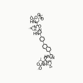 COC(=O)N[C@@H](CCS(C)(=O)=O)C(=O)N1C[C@@H](C)C[C@H]1c1ncc(-c2ccc(-c3ccc4cc(-c5cnc([C@@H]6CC7(CC7)CN6C(=O)[C@@H](NC(=O)OC)C(C)C)[nH]5)ccc4c3)cc2)[nH]1